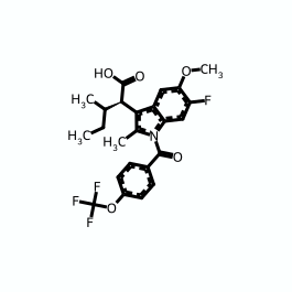 CCC(C)[C@@H](C(=O)O)c1c(C)n(C(=O)c2ccc(OC(F)(F)F)cc2)c2cc(F)c(OC)cc12